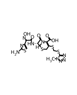 Cn1nnnc1SCSC1=C(C(=O)O)N2C(=O)[C@@H](NC(=O)/C(=N\O)c3csc(N)n3)[C@@H]2SC1